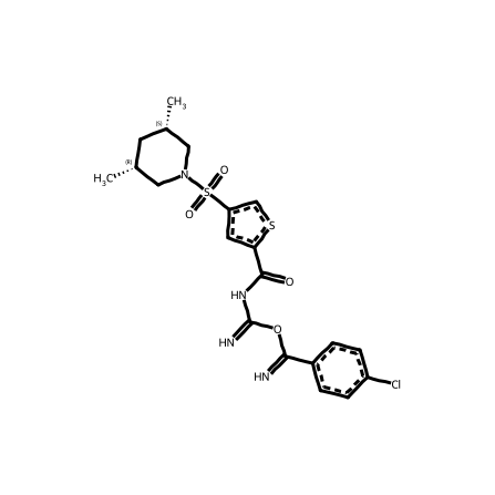 C[C@@H]1C[C@H](C)CN(S(=O)(=O)c2csc(C(=O)NC(=N)OC(=N)c3ccc(Cl)cc3)c2)C1